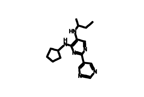 CCC(C)Nc1cnc(-c2cncnc2)nc1NC1CCCC1